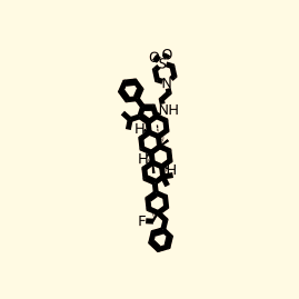 CC(C)C1=C2[C@H]3CC[C@@H]4[C@@]5(C)CC=C(C6=CC[C@@](CF)(Cc7ccccc7)CC6)C(C)(C)[C@@H]5CC[C@@]4(C)[C@]3(C)CC[C@@]2(NCCN2CCS(=O)(=O)CC2)C=C1c1ccccc1